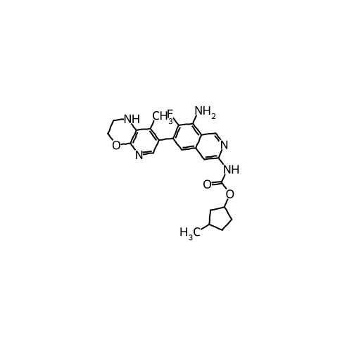 Cc1c(-c2cc3cc(NC(=O)OC4CCC(C)C4)ncc3c(N)c2F)cnc2c1NCCO2